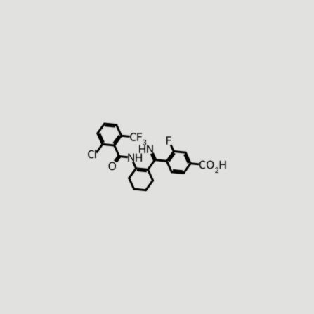 N=C(C1=C(NC(=O)c2c(Cl)cccc2C(F)(F)F)CCCC1)c1ccc(C(=O)O)cc1F